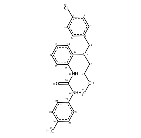 COCCN(Cc1ccc(Cl)cc1)c1ccccc1NC(=O)Nc1ccc(C)cc1